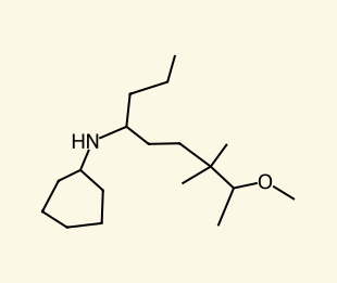 CCCC(CCC(C)(C)C(C)OC)NC1CCCCC1